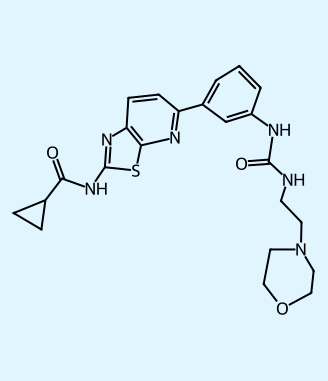 O=C(NCCN1CCOCC1)Nc1cccc(-c2ccc3nc(NC(=O)C4CC4)sc3n2)c1